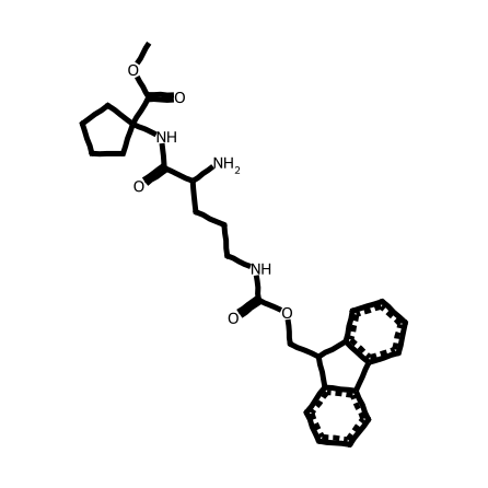 COC(=O)C1(NC(=O)C(N)CCCNC(=O)OCC2c3ccccc3-c3ccccc32)CCCC1